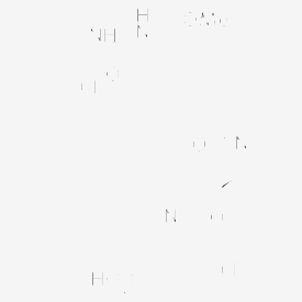 COc1cc(CC(=O)N2CCC[C@H]2COc2ncc(C(=O)O)cc2Cl)ccc1NC(=O)Nc1ccccc1C